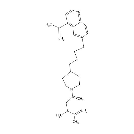 C=C(C)c1ccnc2ccc(CCCCC3CCN(C(=C)CC(C)C(=C)C)CC3)cc12